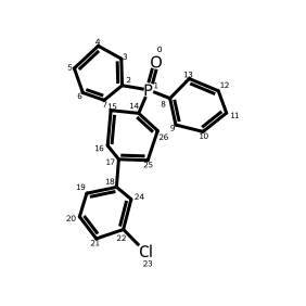 O=P(c1ccccc1)(c1ccccc1)c1ccc(-c2cccc(Cl)c2)cc1